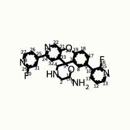 N[C@@H]1CNCC2(O1)c1cc(-c3cccnc3F)ccc1Oc1cnc(-c3ccnc(F)c3)cc12